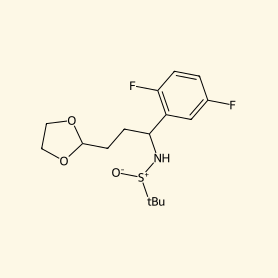 CC(C)(C)[S+]([O-])NC(CCC1OCCO1)c1cc(F)ccc1F